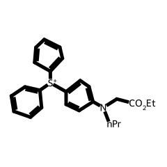 CCCN(CC(=O)OCC)c1ccc([S+](c2ccccc2)c2ccccc2)cc1